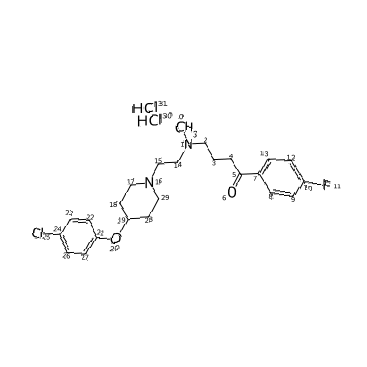 CN(CCCC(=O)c1ccc(F)cc1)CCN1CCC(Oc2ccc(Cl)cc2)CC1.Cl.Cl